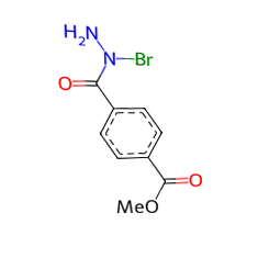 COC(=O)c1ccc(C(=O)N(N)Br)cc1